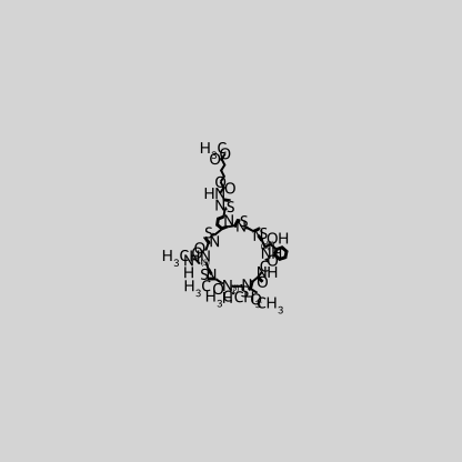 CNC(=O)C[C@@H]1NC(=O)c2csc(n2)-c2ccc(-c3nc(NC(=O)OCCCC(=O)OC)cs3)nc2-c2csc(n2)-c2csc(n2)[C@H]([C@@H](O)c2ccccc2)NC(=O)CNC(=O)c2nc(sc2COC)[C@H](C(C)C)NC(=O)c2nc1sc2C